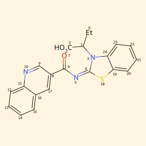 CCC(C(=O)O)n1/c(=N\C(=O)c2cnc3ccccc3c2)sc2ccccc21